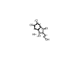 CCN1c2cc(Cl)c(Cl)cc2N(CC)C1C=NO.I